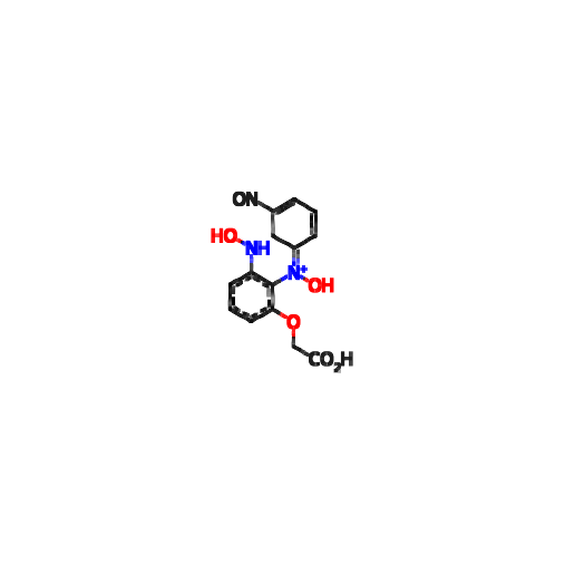 O=NC1=CC=C/C(=[N+](\O)c2c(NO)cccc2OCC(=O)O)C1